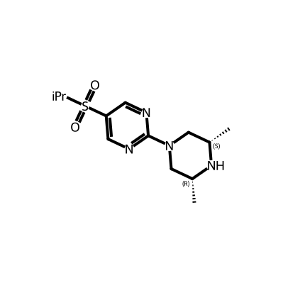 CC(C)S(=O)(=O)c1cnc(N2C[C@@H](C)N[C@@H](C)C2)nc1